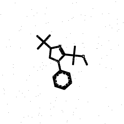 COC(C)(C)C1=NC(C(C)(C)C)CN1c1ccccc1